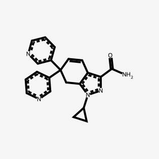 NC(=O)c1nn(C2CC2)c2c1C=CC(c1cccnc1)(c1cccnc1)C2